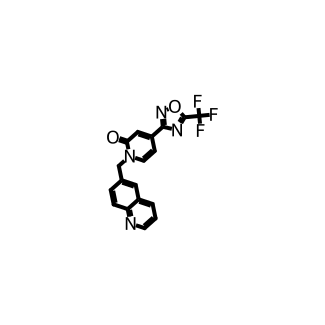 O=c1cc(-c2noc(C(F)(F)F)n2)ccn1Cc1ccc2ncccc2c1